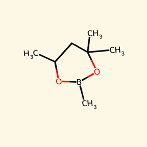 CB1OC(C)CC(C)(C)O1